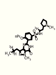 [2H]C(CC1CCCN1C)NS(=O)(=O)c1ccc(OCCC)c(-c2nc3c(CC([2H])([2H])C)nn(C)c3c(=O)[nH]2)c1